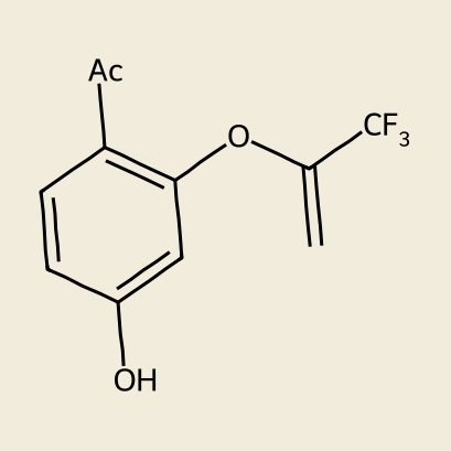 C=C(Oc1cc(O)ccc1C(C)=O)C(F)(F)F